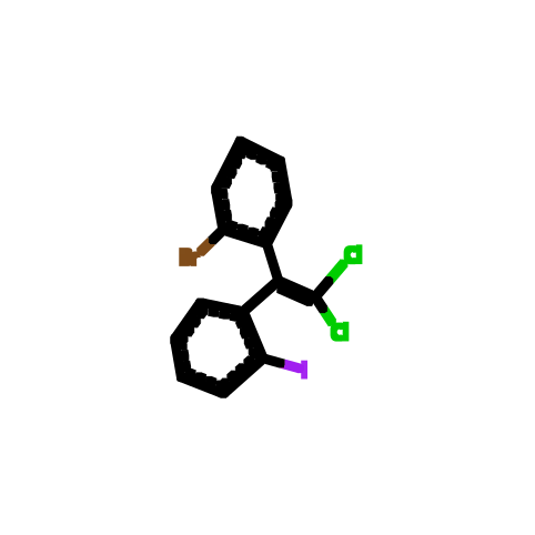 ClC(Cl)=C(c1ccccc1Br)c1ccccc1I